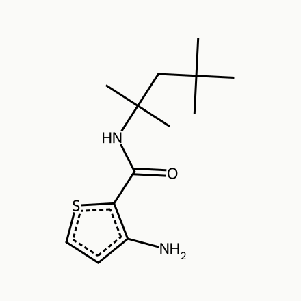 CC(C)(C)CC(C)(C)NC(=O)c1sccc1N